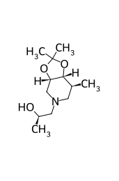 C[C@@H](O)CN1C[C@@H]2OC(C)(C)O[C@@H]2[C@@H](C)C1